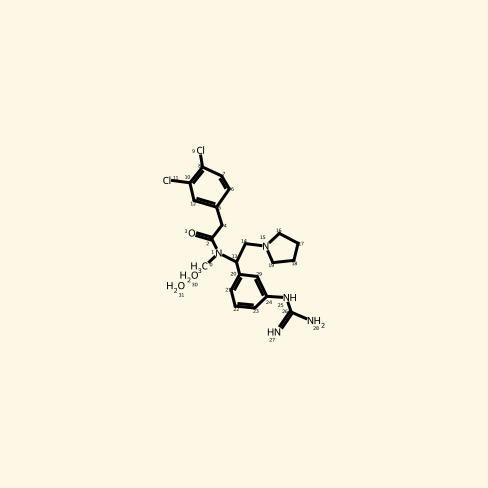 CN(C(=O)Cc1ccc(Cl)c(Cl)c1)C(CN1CCCC1)c1cccc(NC(=N)N)c1.O.O